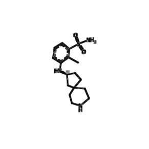 Cc1c(N[C@H]2CCC3(CCNCC3)C2)cccc1S(N)(=O)=O